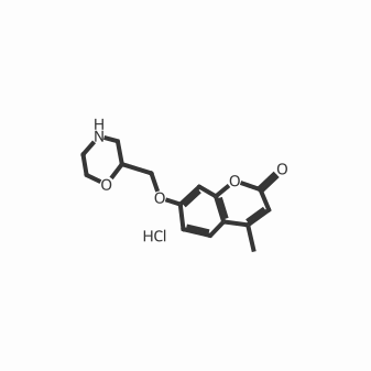 Cc1cc(=O)oc2cc(OCC3CNCCO3)ccc12.Cl